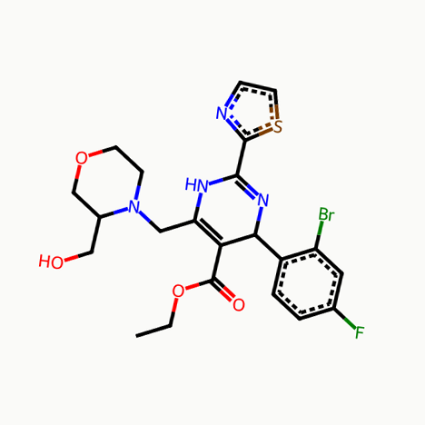 CCOC(=O)C1=C(CN2CCOCC2CO)NC(c2nccs2)=NC1c1ccc(F)cc1Br